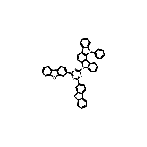 c1ccc(-n2c3ccccc3c3ccc4c(c5ccccc5n4-c4nc(-c5ccc6c(c5)oc5ccccc56)nc(-c5ccc6c(c5)sc5ccccc56)n4)c32)cc1